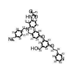 Cc1c(NS(C)(=O)=O)cccc1N(Cc1ccc(C#N)cc1)Cc1ccc(Oc2cc(CO)cc(OCCc3cccnc3)c2)cc1